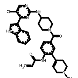 C=CC(=O)Nc1ccc(C(=O)N2CCC(Nc3ncc(Cl)c(-c4c[nH]c5ccccc45)n3)CC2)cc1C1=CCN(C)CC1